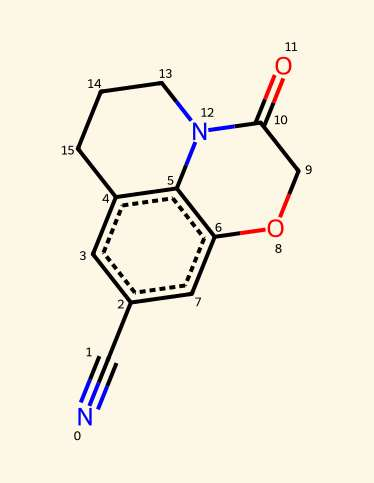 N#Cc1cc2c3c(c1)OCC(=O)N3CCC2